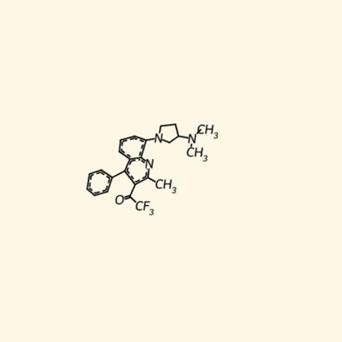 Cc1nc2c(N3CCC(N(C)C)C3)cccc2c(-c2ccccc2)c1C(=O)C(F)(F)F